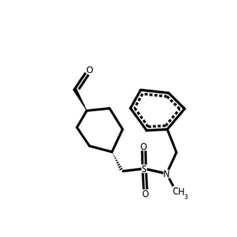 CN(Cc1ccccc1)S(=O)(=O)C[C@H]1CC[C@H](C=O)CC1